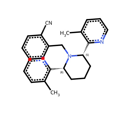 Cc1cccnc1[C@H]1CCC[C@@H](c2ncccc2C)N1Cc1ccccc1C#N